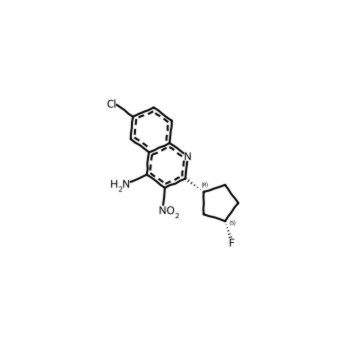 Nc1c([N+](=O)[O-])c([C@@H]2CC[C@H](F)C2)nc2ccc(Cl)cc12